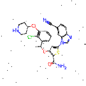 CC(Oc1cc(-n2cnc3ccc(C#N)cc32)sc1C(N)=O)c1cccc(OC2CCNCC2)c1Cl